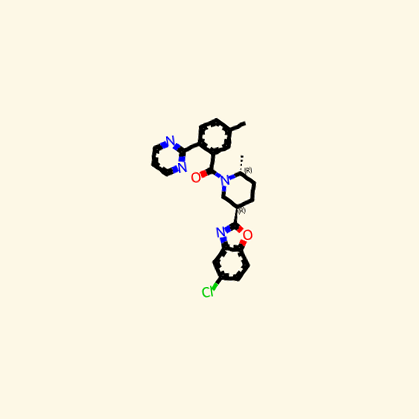 Cc1ccc(-c2ncccn2)c(C(=O)N2C[C@H](c3nc4cc(Cl)ccc4o3)CC[C@H]2C)c1